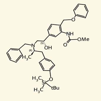 COC(=O)Nc1cc([C@H](O)CN(Cc2ccccc2)[C@H](C)Cc2ccc(O[Si](C)(C)C(C)(C)C)cc2)ccc1COc1ccccc1